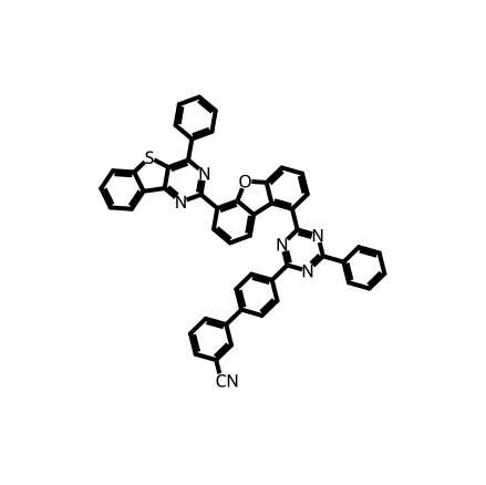 N#Cc1cccc(-c2ccc(-c3nc(-c4ccccc4)nc(-c4cccc5oc6c(-c7nc(-c8ccccc8)c8sc9ccccc9c8n7)cccc6c45)n3)cc2)c1